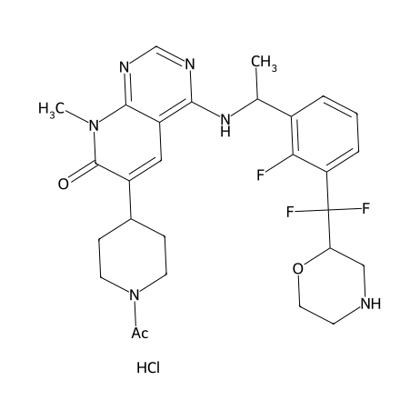 CC(=O)N1CCC(c2cc3c(NC(C)c4cccc(C(F)(F)C5CNCCO5)c4F)ncnc3n(C)c2=O)CC1.Cl